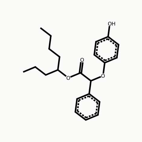 CCCCC(CCC)OC(=O)C(Oc1ccc(O)cc1)c1ccccc1